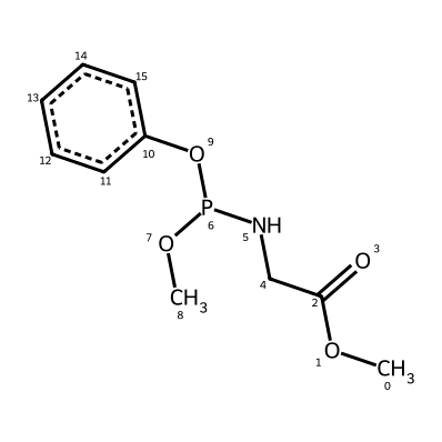 COC(=O)CNP(OC)Oc1ccccc1